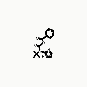 CC(C)(C)N(C(=O)OC(=O)c1ccccc1)c1ncc[nH]1